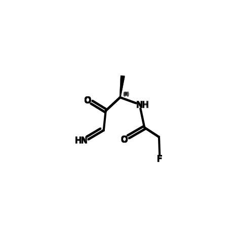 C[C@@H](NC(=O)CF)C(=O)C=N